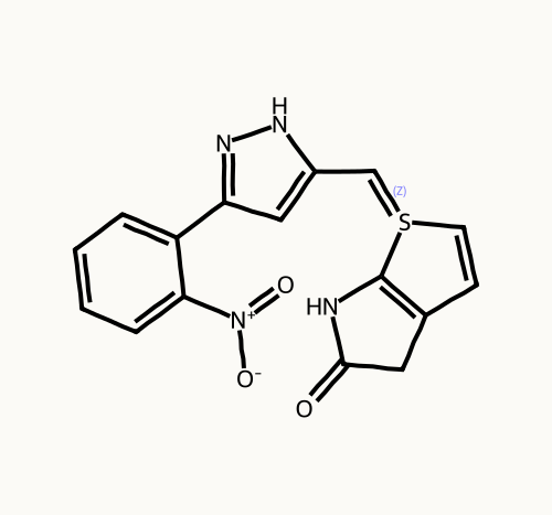 O=C1CC2=C(N1)/S(=C\c1cc(-c3ccccc3[N+](=O)[O-])n[nH]1)C=C2